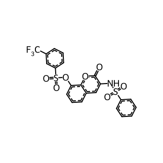 O=c1oc2c(OS(=O)(=O)c3cccc(C(F)(F)F)c3)cccc2cc1NS(=O)(=O)c1ccccc1